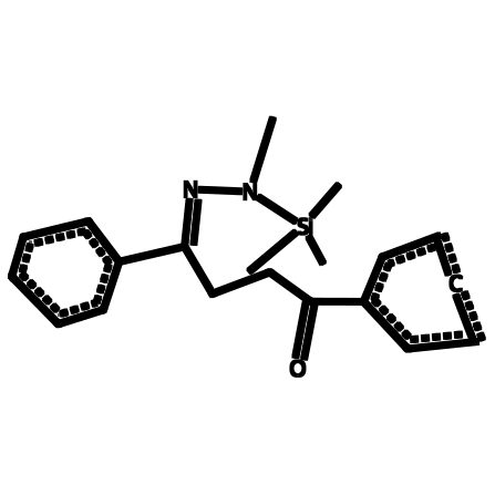 CN(N=C(CCC(=O)c1ccccc1)c1ccccc1)[Si](C)(C)C